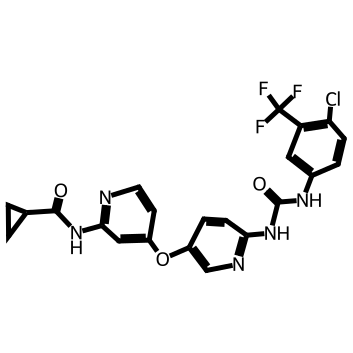 O=C(Nc1ccc(Cl)c(C(F)(F)F)c1)Nc1ccc(Oc2ccnc(NC(=O)C3CC3)c2)cn1